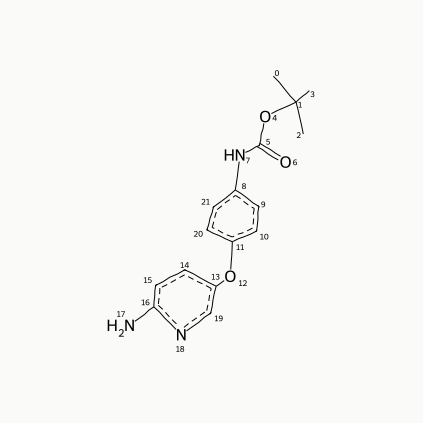 CC(C)(C)OC(=O)Nc1ccc(Oc2ccc(N)nc2)cc1